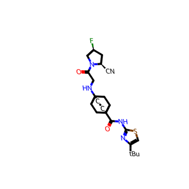 CC(C)(C)c1csc(NC(=O)C23CCC(NCC(=O)N4C[C@@H](F)C[C@H]4C#N)(CC2)CC3)n1